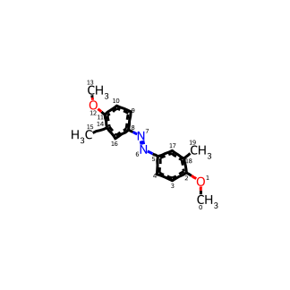 COc1ccc(N=Nc2ccc(OC)c(C)c2)cc1C